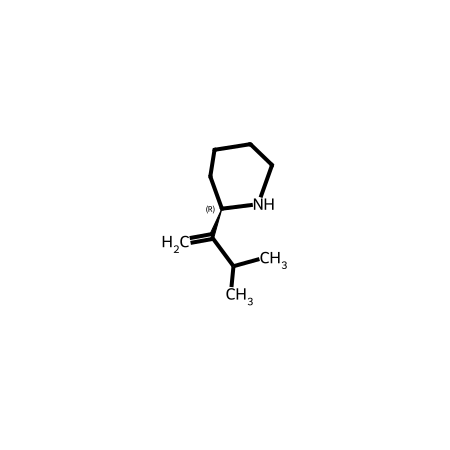 C=C(C(C)C)[C@H]1CCCCN1